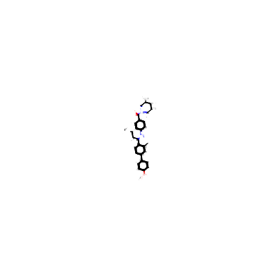 Cc1cc(-c2ccc(OC(F)(F)F)cc2)ccc1C(CCC(F)(F)F)Nc1ccc(C(=O)N2CCC[C@@H](C(=O)O)C2)cc1